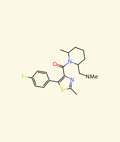 CNCC1CCCC(C)N1C(=O)c1nc(C)sc1-c1ccc(F)cc1